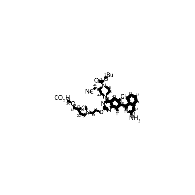 CC(C)(C)OC(=O)N1CCN(c2nc(OCCN3CCC(COCC(=O)O)CC3)nc3c(F)c(-c4nc(N)cc5ccccc45)c(Cl)cc23)C[C@@H]1CC#N